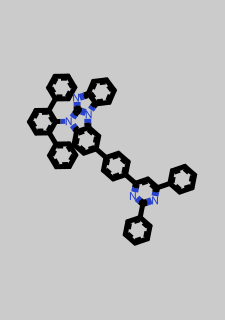 c1ccc(-c2cc(-c3ccc(-c4ccc5c(c4)n4c6ccccc6nc4n5-c4c(-c5ccccc5)cccc4-c4ccccc4)cc3)nc(-c3ccccc3)n2)cc1